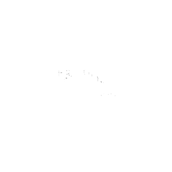 [BiH3].[Cu].[Ni].[SnH4]